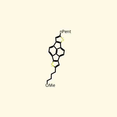 CCCCCc1cc2c(s1)-c1ccc3c4c(ccc-2c14)-c1sc(CCCCOC)cc1-3